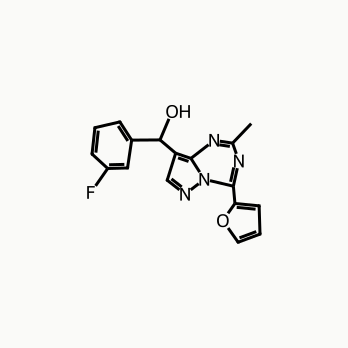 Cc1nc(-c2ccco2)n2ncc(C(O)c3cccc(F)c3)c2n1